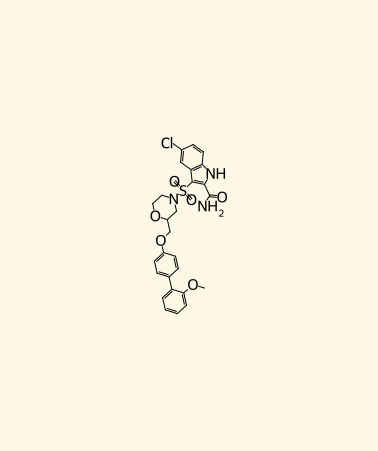 COc1ccccc1-c1ccc(OCC2CN(S(=O)(=O)c3c(C(N)=O)[nH]c4ccc(Cl)cc34)CCO2)cc1